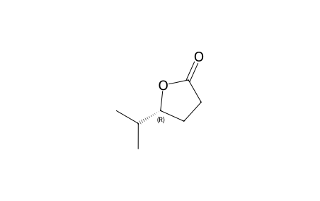 CC(C)[C@H]1CCC(=O)O1